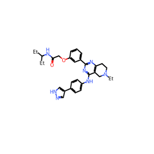 CCC(CC)NC(=O)COc1cccc(-c2nc3c(c(Nc4ccc(-c5cn[nH]c5)cc4)n2)CN(CC)CC3)c1